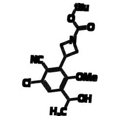 COc1c(C(C)O)cc(Cl)c(C#N)c1C1CN(C(=O)OC(C)(C)C)C1